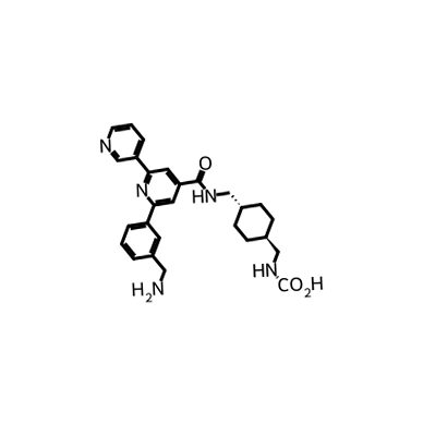 NCc1cccc(-c2cc(C(=O)NC[C@H]3CC[C@H](CNC(=O)O)CC3)cc(-c3cccnc3)n2)c1